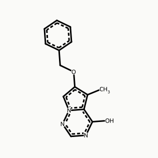 Cc1c(OCc2ccccc2)cn2ncnc(O)c12